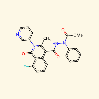 COC(=O)N(NC(=O)c1c(C)n(-c2cccnc2)c(=O)c2c(F)cccc12)c1ccccc1